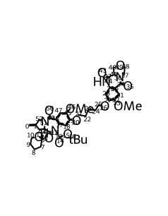 C=C1C[C@H]2C(OC3CCCCO3)N(C(=O)OC(C)(C)C)c3cc(OCCCCCOc4cc5c(cc4OC)C(=O)N4CCOCC4C(=O)N5)c(OC)cc3C(=O)N2C1